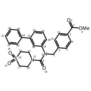 COC(=O)c1ccc(CN(C(=O)N2CCS(=O)(=O)CC2)c2cccc(-c3ccccc3)c2)cc1